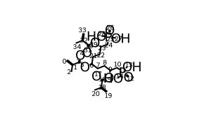 C=C(C)C(=O)OC(CCC(CP(=O)(O)O)OC(=O)C(=C)C)CCC(CP(=O)(O)O)OC(=O)C(=C)C